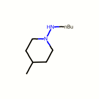 CCCCNN1CCC(C)CC1